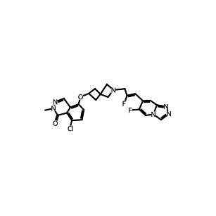 Cn1ncc2c(OC3CC4(C3)CN(C/C(F)=C/c3cc5nncn5cc3F)C4)ccc(Cl)c2c1=O